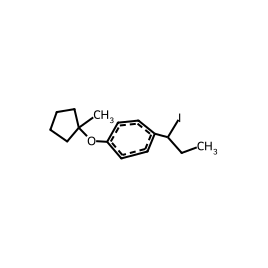 CCC(I)c1ccc(OC2(C)CCCC2)cc1